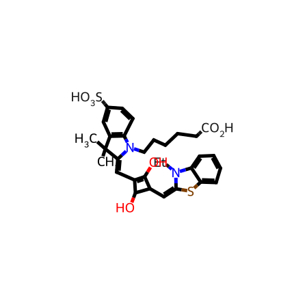 CCN1C(=CC2C(O)=C(C=C3N(CCCCCC(=O)O)c4ccc(S(=O)(=O)O)cc4C3(C)C)C2O)Sc2ccccc21